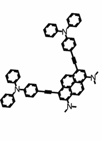 CN(C)c1cc(C#Cc2ccc(N(c3ccccc3)c3ccccc3)cc2)c2ccc3c(C#Cc4ccc(N(c5ccccc5)c5ccccc5)cc4)cc(N(C)C)c4ccc1c2c34